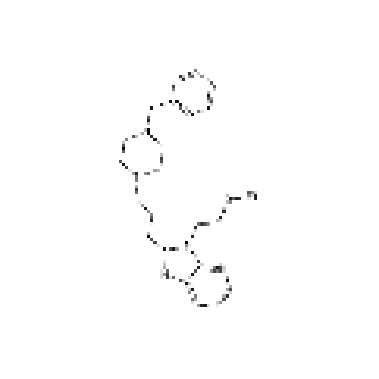 CCOCCn1c(CCCN2CCN(Cc3ccccc3)CC2)nc2cccnc21